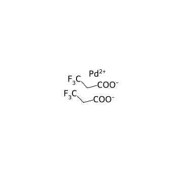 O=C([O-])CC(F)(F)F.O=C([O-])CC(F)(F)F.[Pd+2]